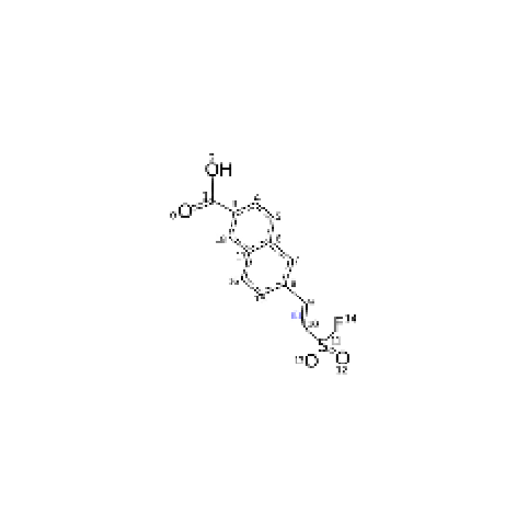 O=C(O)c1ccc2cc(/C=C/S(=O)(=O)F)ccc2c1